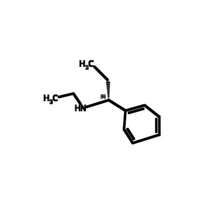 CCN[C@H](CC)c1ccccc1